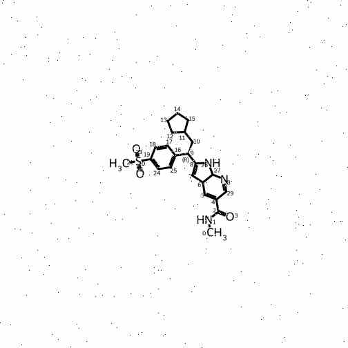 CNC(=O)C1=CC2C=C([C@H](CC3CCCC3)c3ccc(S(C)(=O)=O)cc3)NC2N=C1